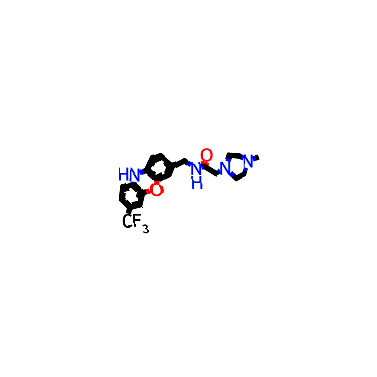 CN1CCN(CC(=O)NCc2ccc3c(c2)Oc2cc(C(F)(F)F)ccc2N3)CC1